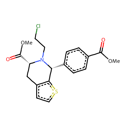 COC(=O)c1ccc([C@@H]2c3sccc3C[C@H](C(=O)OC)N2CCCl)cc1